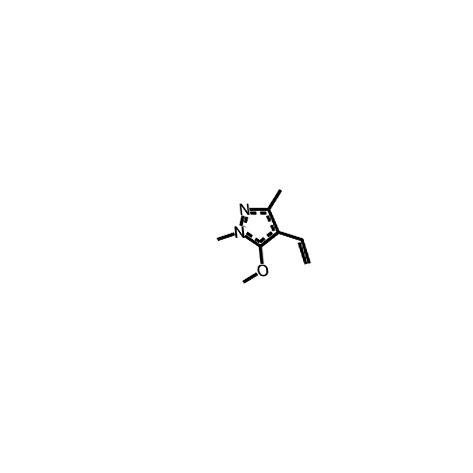 C=Cc1c(C)nn(C)c1OC